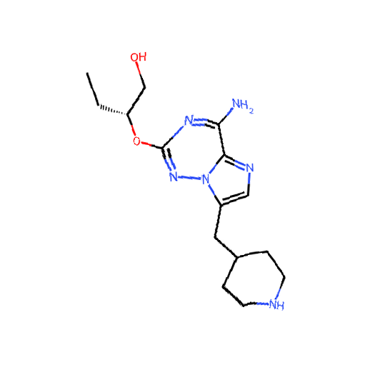 CC[C@H](CO)Oc1nc(N)c2ncc(CC3CCNCC3)n2n1